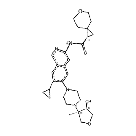 C[C@@]1(N2CCN(c3cc4cc(NC(=O)[C@@H]5CC56CCOCC6)ncc4cc3C3CC3)CC2)COC[C@@H]1O